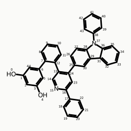 Oc1cc(O)cc(-c2ccccc2-c2cnc(-c3ccccc3)cc2-c2ccc3c(c2)c2ccccc2n3-c2ccccc2)c1